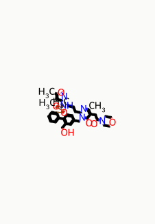 CCCCc1nc(C)c(CC(=O)N2CCOCC2)c(=O)n1Cc1ccc(-c2ccccc2S(=O)(=O)Nc2noc(C)c2C)c(CO)c1